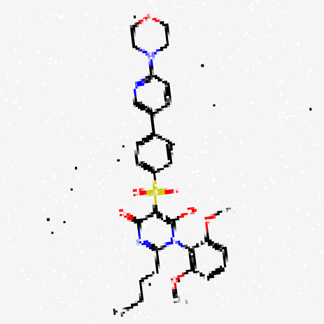 CCCCc1nc(=O)c(S(=O)(=O)c2ccc(-c3ccc(N4CCOCC4)nc3)cc2)c(O)n1-c1c(OC)cccc1OC